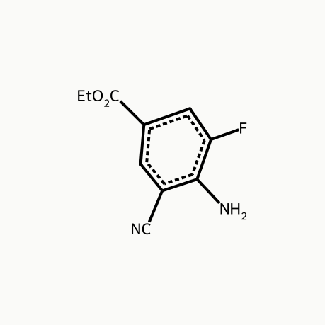 CCOC(=O)c1cc(F)c(N)c(C#N)c1